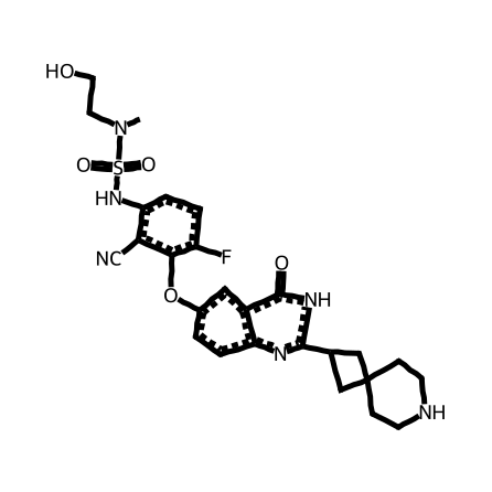 CN(CCO)S(=O)(=O)Nc1ccc(F)c(Oc2ccc3nc(C4CC5(CCNCC5)C4)[nH]c(=O)c3c2)c1C#N